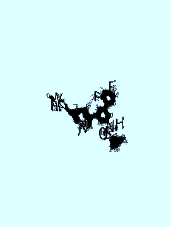 CC(=N)/N=C\Nc1ccc2c(-c3cc(N[S+]([O-])C4CC4)cc(-c4ccc(F)cc4F)c3)cnn2c1